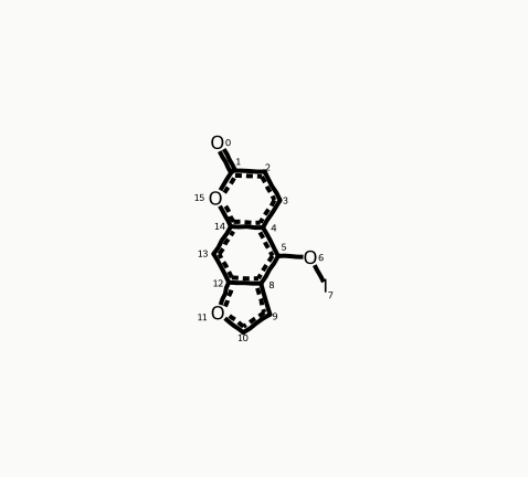 O=c1ccc2c(OI)c3ccoc3cc2o1